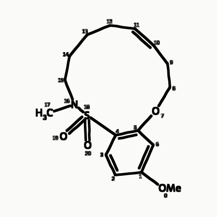 COc1ccc2c(c1)OCC/C=C\CCCCN(C)S2(=O)=O